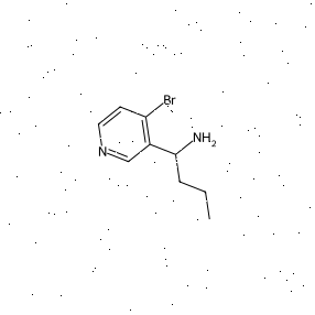 CCCC(N)c1cnccc1Br